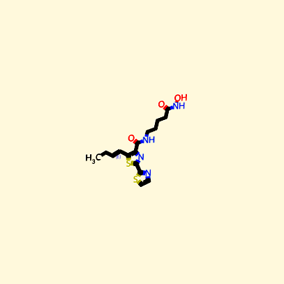 CC/C=C/c1sc(-c2nccs2)nc1C(=O)NCCCCC(=O)NO